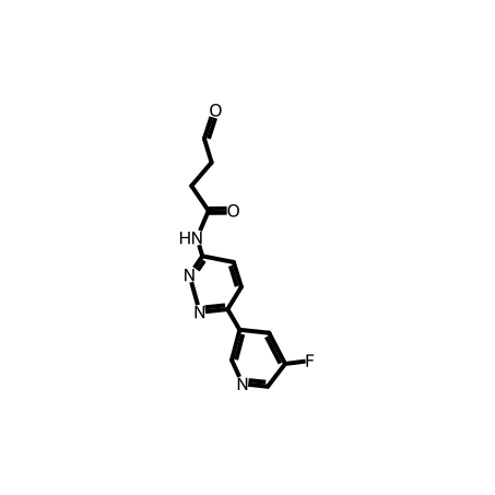 O=CCCC(=O)Nc1ccc(-c2cncc(F)c2)nn1